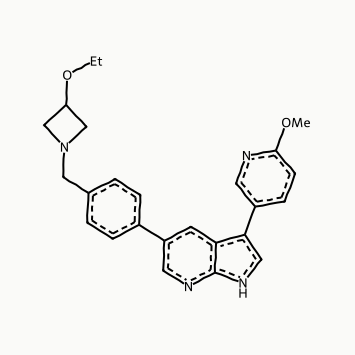 CCOC1CN(Cc2ccc(-c3cnc4[nH]cc(-c5ccc(OC)nc5)c4c3)cc2)C1